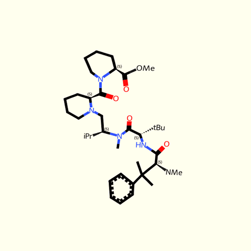 CN[C@H](C(=O)N[C@H](C(=O)N(C)[C@H](CN1CCCC[C@H]1C(=O)N1CCCC[C@H]1C(=O)OC)C(C)C)C(C)(C)C)C(C)(C)c1ccccc1